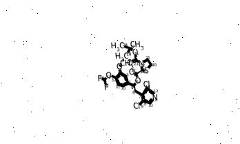 COc1cc([C@H](Cc2c(Cl)cncc2Cl)OC(=O)[C@@H]2SCCN2C(=O)OC(C)(C)C)ccc1OC(F)F